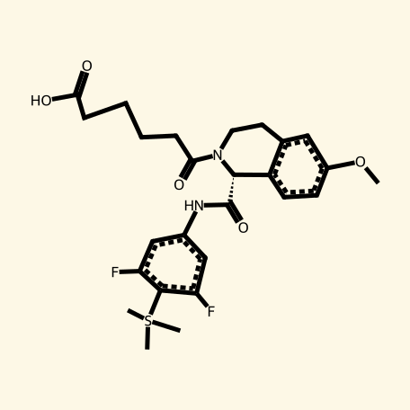 COc1ccc2c(c1)CCN(C(=O)CCCCC(=O)O)[C@H]2C(=O)Nc1cc(F)c(S(C)(C)C)c(F)c1